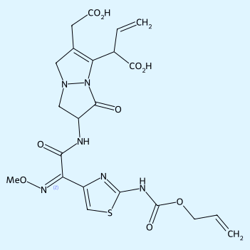 C=CCOC(=O)Nc1nc(/C(=N/OC)C(=O)NC2CN3CC(CC(=O)O)=C(C(C=C)C(=O)O)N3C2=O)cs1